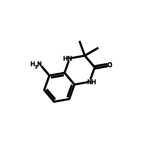 CC1(C)Nc2c(N)cccc2NC1=O